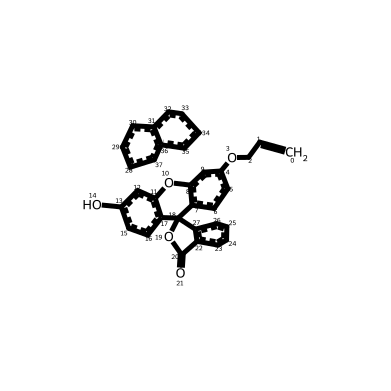 C=CCOc1ccc2c(c1)Oc1cc(O)ccc1C21OC(=O)c2ccccc21.c1ccc2ccccc2c1